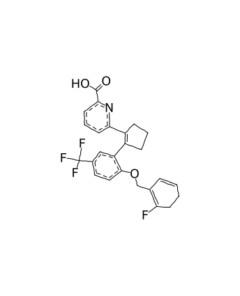 O=C(O)c1cccc(C2=C(c3cc(C(F)(F)F)ccc3OCC3=C(F)CCC=C3)CCC2)n1